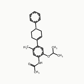 CC(=O)Nc1cc(C)c(C2=CCN(c3ccccc3)CC2)cc1OC(C)C